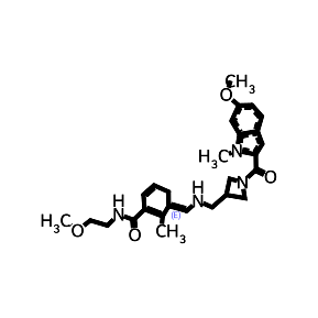 COCCNC(=O)C1=C(C)/C(=C/NCC2CN(C(=O)c3cc4ccc(OC)cc4n3C)C2)CC=C1